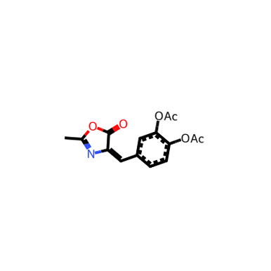 CC(=O)Oc1ccc(C=C2N=C(C)OC2=O)cc1OC(C)=O